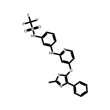 Cc1nc(-c2ccccc2)c(Oc2ccnc(Nc3cccc(NS(=O)(=O)C(F)(F)F)c3)c2)s1